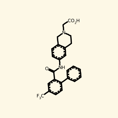 O=C(O)CN1CCc2cc(NC(=O)c3cc(C(F)(F)F)ccc3-c3ccccc3)ccc2C1